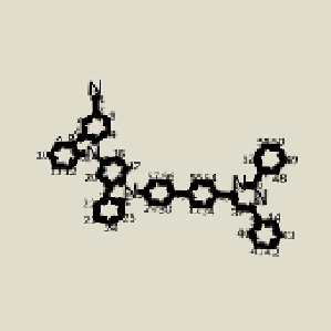 N#Cc1ccc2c(c1)c1ccccc1n2-c1ccc2c(c1)c1ccccc1n2-c1ccc(-c2ccc(-c3cc(-c4ccccc4)nc(-c4ccccc4)n3)cc2)cc1